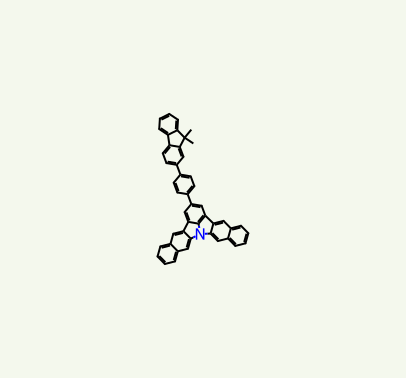 CC1(C)c2ccccc2-c2ccc(-c3ccc(-c4cc5c6cc7ccccc7cc6n6c7cc8ccccc8cc7c(c4)c56)cc3)cc21